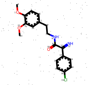 COc1ccc(CCNC(=O)C(=N)c2ccc(Cl)cc2)cc1OC